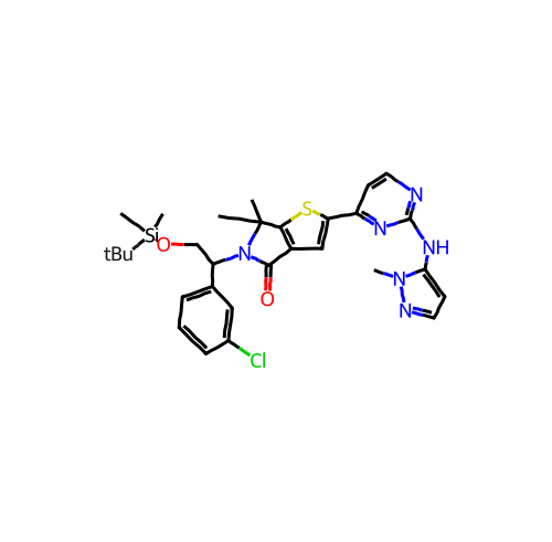 Cn1nccc1Nc1nccc(-c2cc3c(s2)C(C)(C)N(C(CO[Si](C)(C)C(C)(C)C)c2cccc(Cl)c2)C3=O)n1